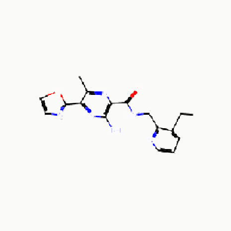 CCc1cccnc1CNC(=O)c1nc(C)c(-c2ncco2)nc1N